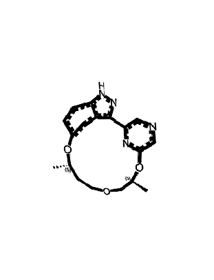 C[C@H]1CCOC[C@H](C)Oc2cncc(n2)-c2n[nH]c3ccc(cc23)O1